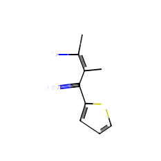 C/C(C(=N)c1cccs1)=C(/N)C(=O)O